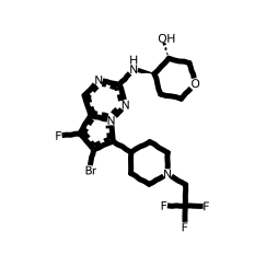 O[C@@H]1COCC[C@H]1Nc1ncc2c(F)c(Br)c(C3CCN(CC(F)(F)F)CC3)n2n1